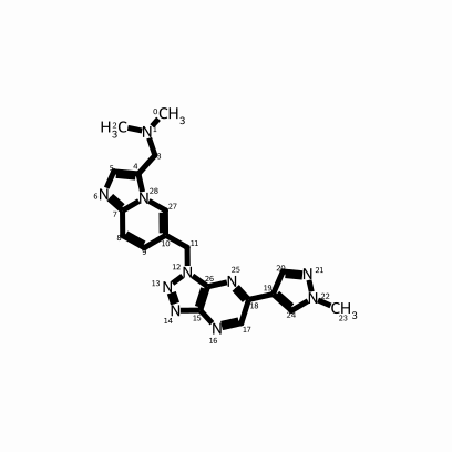 CN(C)Cc1cnc2ccc(Cn3nnc4ncc(-c5cnn(C)c5)nc43)cn12